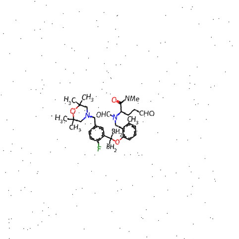 BC(B)(Oc1cccc(C)c1CN(C=O)C(CCC=O)C(=O)NC)c1cc(CN2CC(C)(C)OC(C)(C)C2)ccc1F